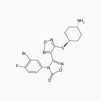 N[C@H]1CC[C@H](Sc2nonc2-c2noc(=O)n2-c2ccc(F)c(Br)c2)CC1